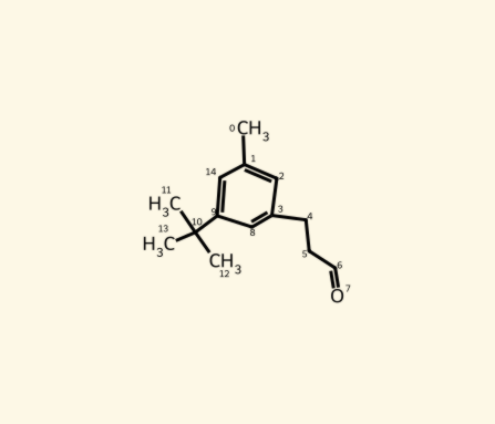 Cc1cc(CCC=O)cc(C(C)(C)C)c1